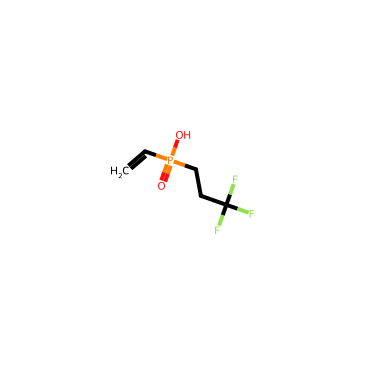 C=CP(=O)(O)CCC(F)(F)F